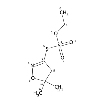 CCOS(=O)(=O)SC1=NOC(C)(C)C1